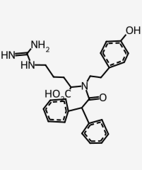 N=C(N)NCCCC(C(=O)O)N(CCc1ccc(O)cc1)C(=O)C(c1ccccc1)c1ccccc1